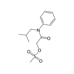 CC(C)CN(C(=O)COS(C)(=O)=O)c1ccccc1